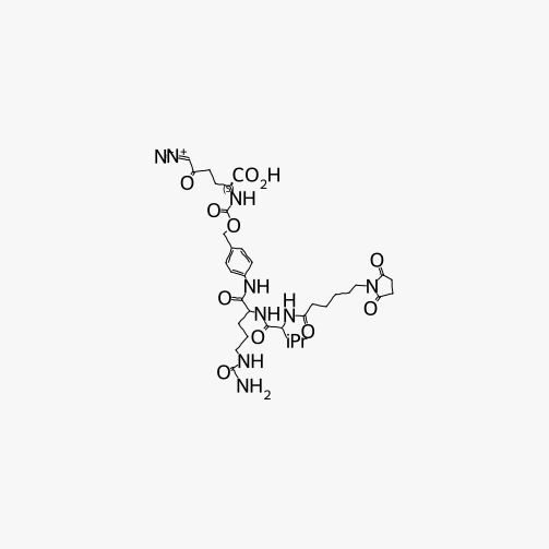 CC(C)C(NC(=O)CCCCCN1C(=O)CCC1=O)C(=O)NC(CCCNC(N)=O)C(=O)Nc1ccc(COC(=O)N[C@@H](CCC(=O)C=[N+]=[N-])C(=O)O)cc1